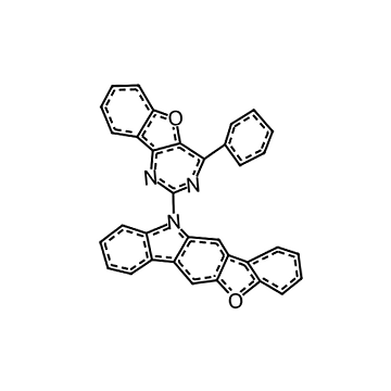 c1ccc(-c2nc(-n3c4ccccc4c4cc5oc6ccccc6c5cc43)nc3c2oc2ccccc23)cc1